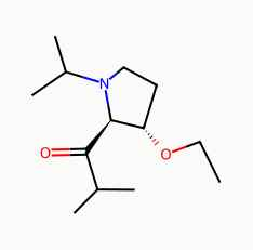 CCO[C@H]1CCN(C(C)C)[C@@H]1C(=O)C(C)C